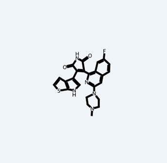 CN1CCN(c2cc3ccc(F)cc3c(C3=C(c4c[nH]c5sccc45)C(=O)NC3=O)n2)CC1